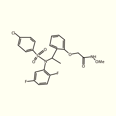 CONC(=O)COc1ccccc1C(C)N(c1cc(F)ccc1F)S(=O)(=O)c1ccc(Cl)cc1